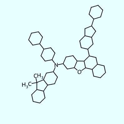 CC1(C)C2CCCCC2C2CCC(N(C3CCC(C4CCCCC4)CC3)C3CCC4C(C3)OC3C5CCCCC5CC(C5CCC6CC(C7CCCCC7)CC6C5)C43)CC21